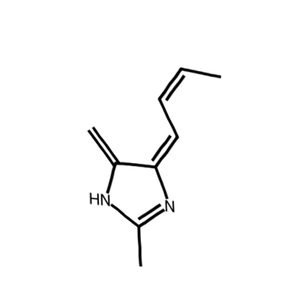 C=c1[nH]c(C)n/c1=C/C=C\C